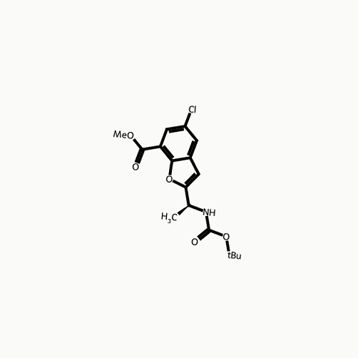 COC(=O)c1cc(Cl)cc2cc([C@H](C)NC(=O)OC(C)(C)C)oc12